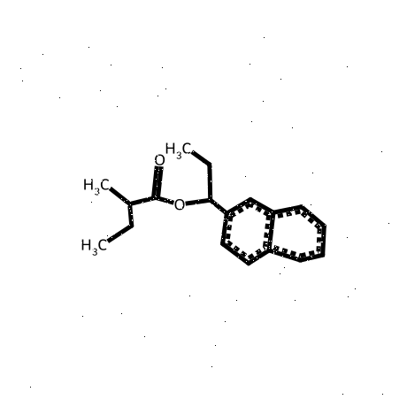 CCC(C)C(=O)OC(CC)c1ccc2ccccc2c1